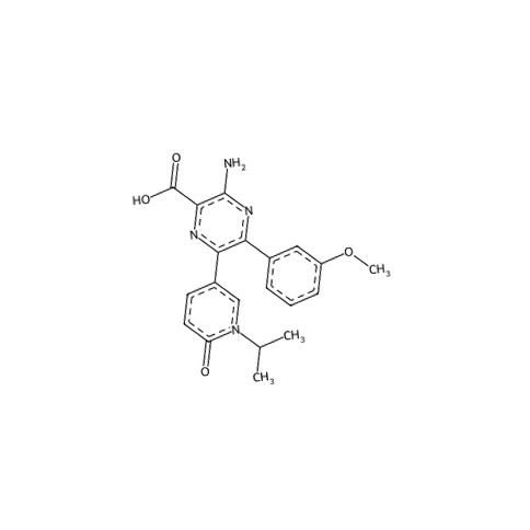 COc1cccc(-c2nc(N)c(C(=O)O)nc2-c2ccc(=O)n(C(C)C)c2)c1